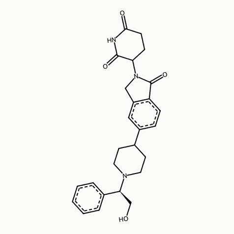 O=C1CCC(N2Cc3cc(C4CCN([C@@H](CO)c5ccccc5)CC4)ccc3C2=O)C(=O)N1